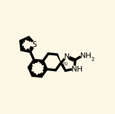 NC1=N[C@]2(CCc3c(cccc3-c3cccs3)C2)CN1